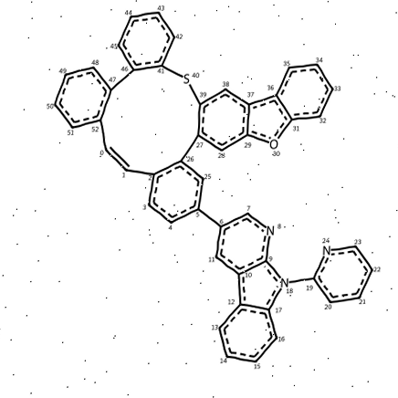 C1=C\c2ccc(-c3cnc4c(c3)c3ccccc3n4-c3ccccn3)cc2-c2cc3oc4ccccc4c3cc2Sc2ccccc2-c2ccccc2/1